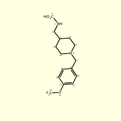 O=C(O)NCC1CCN(Cc2ccc(OC(F)(F)F)cc2)CC1